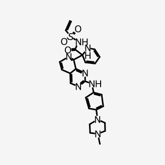 C=CS(=O)(=O)NC(=O)C1(c2nccc3cnc(Nc4ccc(N5CCN(C)CC5)cc4)nc23)C=CC=CN1